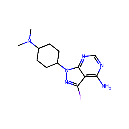 CN(C)C1CCC(n2nc(I)c3c(N)ncnc32)CC1